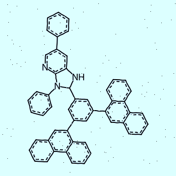 c1ccc(-c2cnc3c(c2)NC(c2cc(-c4cc5ccccc5c5ccccc45)cc(-c4cc5ccccc5c5ccccc45)c2)N3c2ccccc2)cc1